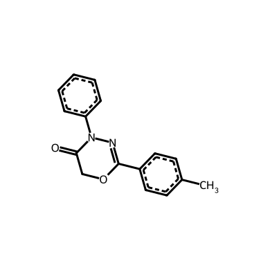 Cc1ccc(C2=NN(c3ccccc3)C(=O)CO2)cc1